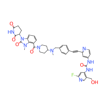 CN(Cc1ccc(C#Cc2cc(NC(=O)Nc3cc(F)ncc3CO)ccn2)cc1)C1CCN(C(=O)c2cccc3c2n(C)c(=O)n3C2CCC(=O)NC2=O)CC1